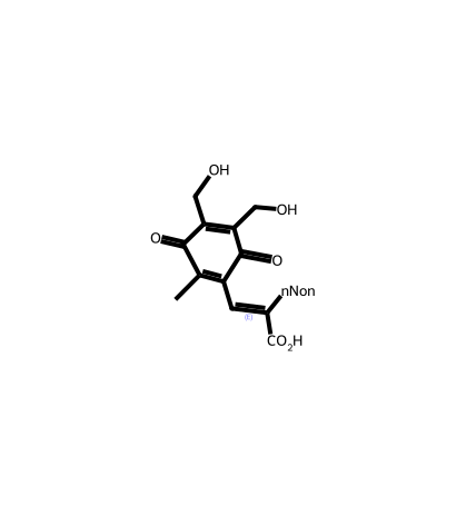 CCCCCCCCC/C(=C\C1=C(C)C(=O)C(CO)=C(CO)C1=O)C(=O)O